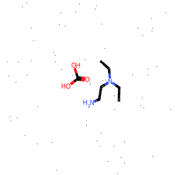 CCN(CC)CCN.O=C(O)O